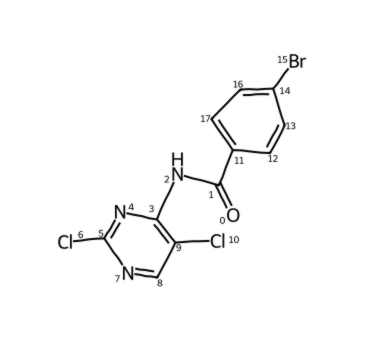 O=C(Nc1nc(Cl)ncc1Cl)c1ccc(Br)cc1